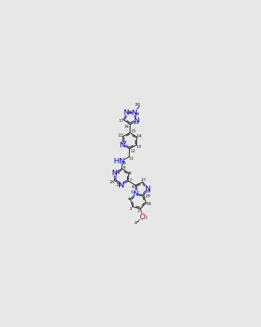 COc1ccn2c(-c3cc(NCc4ccc(-c5cnn(C)n5)cn4)ncn3)cnc2c1